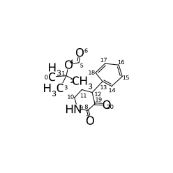 CC(C)(C)OC=O.O=C1NCCC(c2ccccc2)C1=O